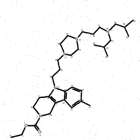 CCOC(=O)N1CCc2c(c3cc(C)ccc3n2CCCN2CCN(CCCN(CC(C)C)CC(C)C)CC2)C1